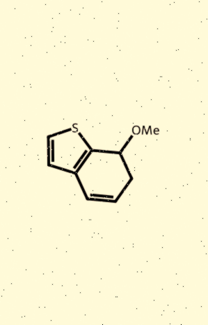 COC1CC=Cc2ccsc21